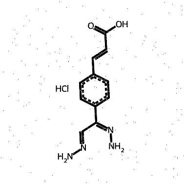 Cl.NN=CC(=NN)c1ccc(C=CC(=O)O)cc1